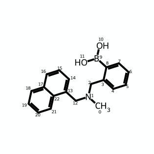 CN(Cc1ccccc1B(O)O)Cc1cccc2ccccc12